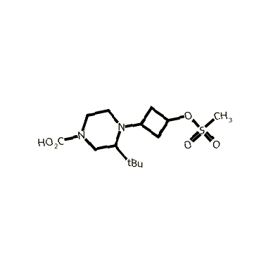 CC(C)(C)C1CN(C(=O)O)CCN1C1CC(OS(C)(=O)=O)C1